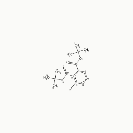 CC(C)(C)OC(=O)c1cccc(I)c1C(=O)OC(C)(C)C